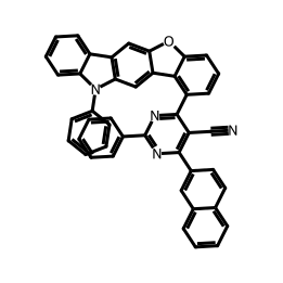 N#Cc1c(-c2ccc3ccccc3c2)nc(-c2ccccc2)nc1-c1cccc2oc3cc4c5ccccc5n(-c5ccccc5)c4cc3c12